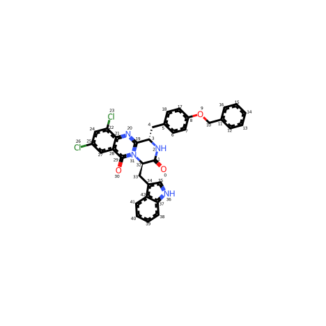 O=C1N[C@@H](Cc2ccc(OCc3ccccc3)cc2)c2nc3c(Cl)cc(Cl)cc3c(=O)n2[C@@H]1Cc1c[nH]c2ccccc12